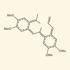 C=C/C=c1/cc(OC)c(OC)c/c1=C(C)\C=c1\cc(OC)c(OC)cc1=C(C)C